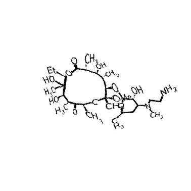 CC[C@H]1OC(=O)[C@H](C)[C@@H](O)[C@H](C)[C@@H](O[C@@H]2O[C@H](C)C[C@H](N(C)CCN)[C@H]2O)[C@@](C)(OC)C[C@@H](C)C(=O)[C@H](C)[C@@H](O)[C@]1(C)O